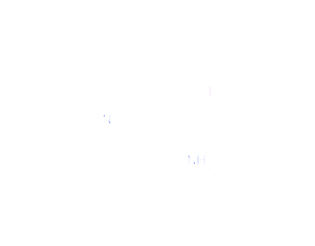 Nc1cnccc1I